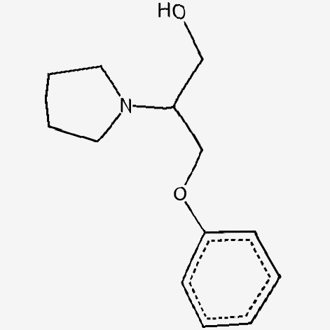 OCC(COc1ccccc1)N1CCCC1